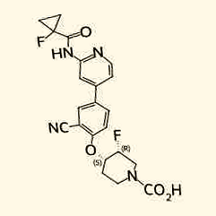 N#Cc1cc(-c2ccnc(NC(=O)C3(F)CC3)c2)ccc1O[C@H]1CCN(C(=O)O)C[C@H]1F